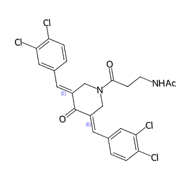 CC(=O)NCCC(=O)N1C/C(=C\c2ccc(Cl)c(Cl)c2)C(=O)/C(=C/c2ccc(Cl)c(Cl)c2)C1